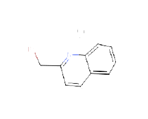 BrCc1ccc2ccccc2n1.[Cu]